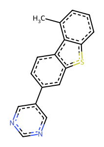 Cc1cccc2sc3cc(-c4cncnc4)ccc3c12